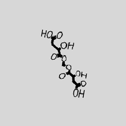 O=C(O)CC(O)C(=O)OCOC(=O)C(O)CC(=O)O